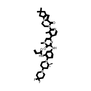 C=CC(=O)Nc1cc(Nc2nc(-c3ccnc(N4CCn5c(cc6c5CC(C)(C)C6)C4=O)c3C)cn(C)c2=O)ccc1N1CCC(N2CCC(F)(F)CC2)C[C@@H]1C